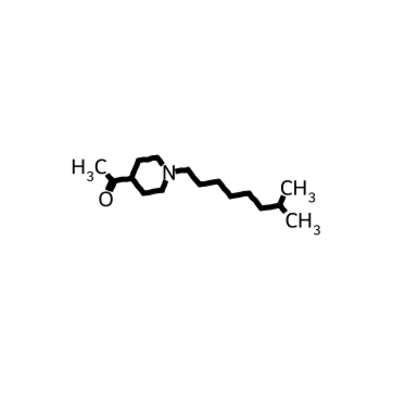 CC(=O)C1CCN(CCCCCCC(C)C)CC1